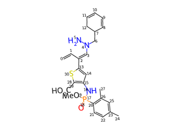 C=C/C(=C\N(N)CC1C=CC=CC1)c1cc(NP(=O)(OC)c2ccc(C)cc2C)c(C(=O)O)s1